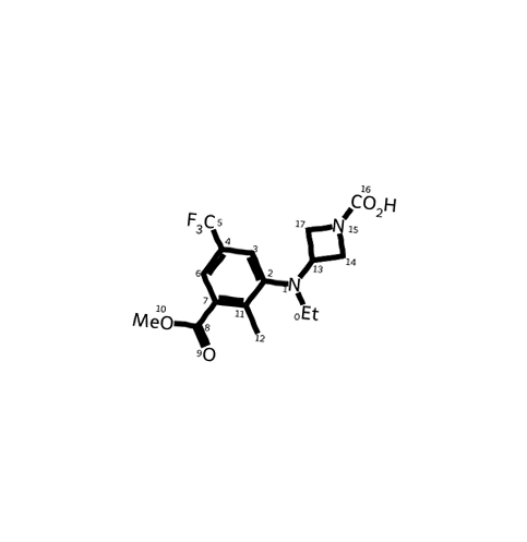 CCN(c1cc(C(F)(F)F)cc(C(=O)OC)c1C)C1CN(C(=O)O)C1